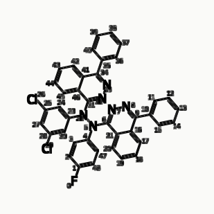 Fc1ccc(N(c2nnc(-c3ccccc3)c3ccccc23)N(c2cc(Cl)cc(Cl)c2)c2nnc(-c3ccccc3)c3ccccc23)cc1